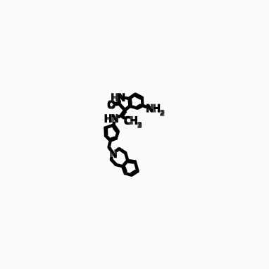 C/C(Nc1ccc(CN2CCc3ccccc3CC2)cc1)=C1/C(=O)Nc2ccc(N)cc21